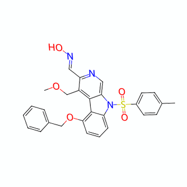 COCc1c(C=NO)ncc2c1c1c(OCc3ccccc3)cccc1n2S(=O)(=O)c1ccc(C)cc1